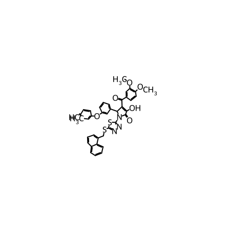 C#C/C=C\C(=C/C)Oc1cccc(C2C(C(=O)c3ccc(OC)c(OC)c3)=C(O)C(=O)N2c2nnc(SCc3cccc4ccccc34)s2)c1